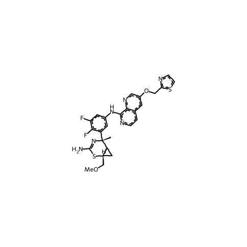 COC[C@]12C[C@H]1[C@@](C)(c1cc(Nc3nccc4cc(OCc5nccs5)cnc34)cc(F)c1F)N=C(N)S2